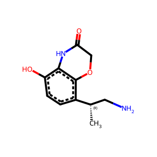 C[C@@H](CN)c1ccc(O)c2c1OCC(=O)N2